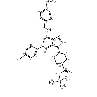 COc1ccc(CNc2nc(-c3ccc(Cl)cc3)nc3c2cnn3C2CCN(C(=O)OC(C)(C)C)CC2)cc1